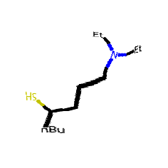 CCCCC(S)CCCN(CC)CC